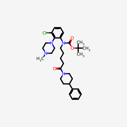 CN1CCN(c2c(Cl)cccc2N(CCCCC(=O)N2CCC(c3ccccc3)CC2)C(=O)OC(C)(C)C)CC1